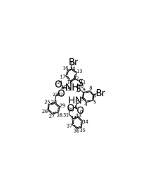 O=C(Nc1ccc(Br)cc1SSc1cc(Br)ccc1NC(=O)OCc1ccccc1)OCc1ccccc1